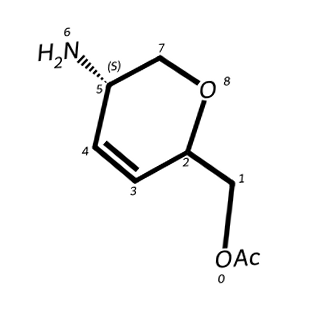 CC(=O)OCC1C=C[C@H](N)CO1